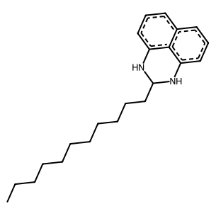 CCCCCCCCCCCC1Nc2cccc3cccc(c23)N1